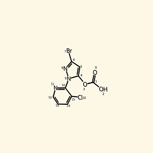 O=C(O)Oc1cc(Br)nn1-c1ncccc1Cl